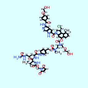 Cc1cccc2c(OC(=O)N(CCOCCO)CCN(C)C(=O)OCc3ccc(NC(=O)[C@H](CCCNC(N)=O)NC(=O)[C@@H](NC(=O)OCN4C(=O)C=CC4=O)C(C)C)cc3)cc3c(c12)[C@H](CCl)CN3C(=O)c1cc2cc(NC(=O)c3ccc(OCCO)cc3)ncc2[nH]1